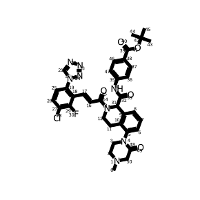 CN1CCN(c2cccc3c2CCN(C(=O)C=Cc2c(-n4cnnn4)ccc(Cl)c2F)C3C(=O)Nc2ccc(C(=O)OC(C)(C)C)cc2)C(=O)C1